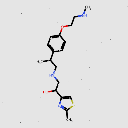 CNCCOc1ccc(C(C)CNCC(O)c2csc(C)n2)cc1